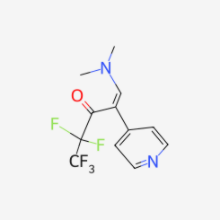 CN(C)C=C(C(=O)C(F)(F)C(F)(F)F)c1ccncc1